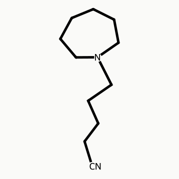 N#CCCCCN1CCCCCC1